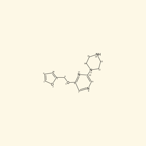 c1coc(COc2cncc(N3CCNCC3)n2)c1